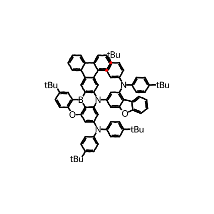 CC(C)(C)c1ccc(N(c2ccc(C(C)(C)C)cc2)c2cc3c4c(c2)N(c2cc(N(c5ccc(C(C)(C)C)cc5)c5ccc(C(C)(C)C)cc5)c5c(c2)oc2ccccc25)c2cc5c6ccccc6c6ccccc6c5cc2B4c2cc(C(C)(C)C)ccc2O3)cc1